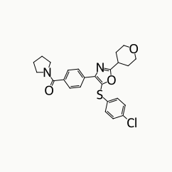 O=C(c1ccc(-c2nc(C3CCOCC3)oc2Sc2ccc(Cl)cc2)cc1)N1CCCC1